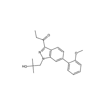 CCC(=O)c1nn(CC(C)(C)O)c2cc(-c3ccccc3OC)ccc12